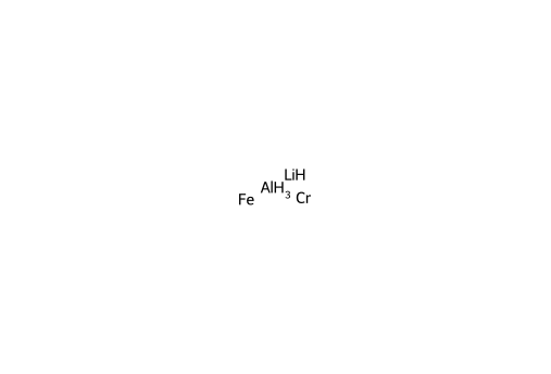 [AlH3].[Cr].[Fe].[LiH]